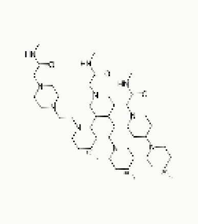 CNC(=O)CN1CCC(N2CC[C@H](C)CC2C2CN(CCC3CCN(CC(=O)NC)CC3C3C[C@H](C)CCN3CCN3CCN(CC(=O)NC)CC3)CC[C@H]2C)CC1